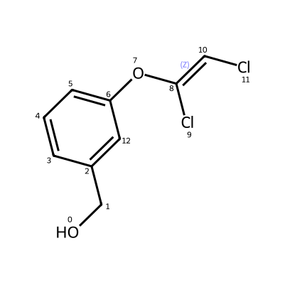 OCc1cccc(O/C(Cl)=C/Cl)c1